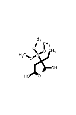 CCC(CC(=O)O)(C(=O)O)[Si](OC)(OC)OC